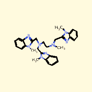 CN(CCN(Cc1nc2ccccc2n1C)Cc1nc2ccccc2n1C)Cc1nc2ccccc2n1C